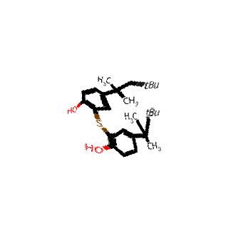 CC(C)(C)CC(C)(C)c1ccc(O)c(Sc2cc(C(C)(C)CC(C)(C)C)ccc2O)c1